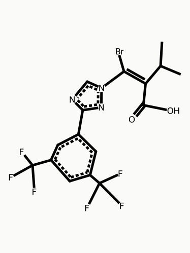 CC(C)C(C(=O)O)=C(Br)n1cnc(-c2cc(C(F)(F)F)cc(C(F)(F)F)c2)n1